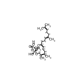 CC(C)=CCCC(C)=CCCC(C)=CCCC(C)=C(C)COP(=O)(O)OP(=O)(O)O